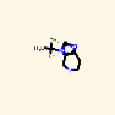 CC(C)(C)n1cnc2c1CNCC2